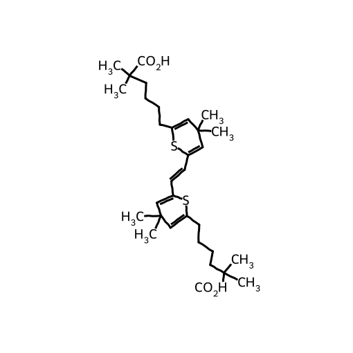 CC1(C)C=C(C=CC2=CC(C)(C)C=C(CCCCC(C)(C)C(=O)O)S2)SC(CCCCC(C)(C)C(=O)O)=C1